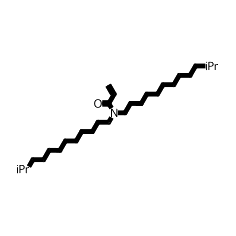 C=CC(=O)N(CCCCCCCCCCC(C)C)CCCCCCCCCCC(C)C